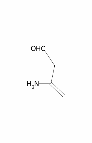 C=C(N)CC=O